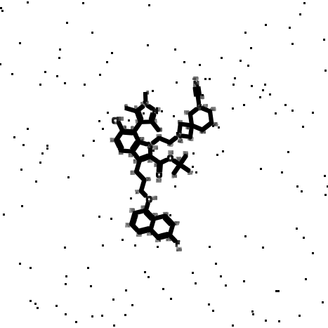 Cc1nn(C)c(C)c1-c1c(Cl)ccc2c(CCCOc3cccc4cc(F)ccc34)c(C(=O)OC(C)(C)C)n(CCN3CC4(CCCB(C#N)C4)C3)c12